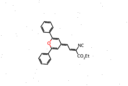 [C-]#[N+]/C(=C\C=C1C=C(c2ccccc2)OC(c2ccccc2)=C1)C(=O)OCC